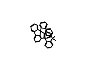 CC1(C)c2ccccc2N(c2cccc3c2C2(c4ccccc4-c4ccccc42)c2ccccc2-3)c2ccccc21